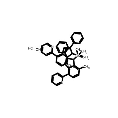 Cc1ccc(-c2ccccn2)c2c1[CH]([Zr]([CH3])([CH3])(=[SiH2])[CH]1C(c3ccccc3)=Cc3c(-c4ccccn4)ccc(C)c31)C(c1ccccc1)=C2.Cl.Cl